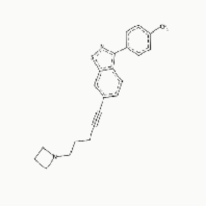 FC(F)(F)c1ccc(-c2nsc3cc(C#CCCCN4CCC4)ccc23)cc1